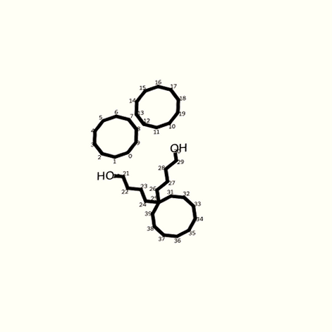 C1CCCCCCCCC1.C1CCCCCCCCC1.OCCCCC1(CCCCO)CCCCCCCCC1